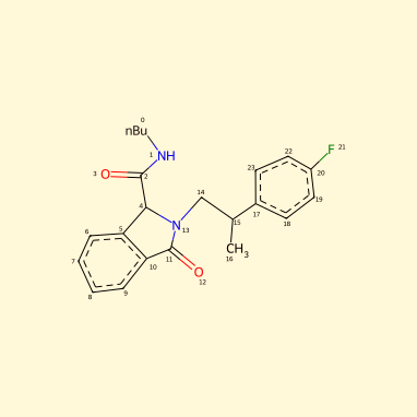 CCCCNC(=O)C1c2ccccc2C(=O)N1CC(C)c1ccc(F)cc1